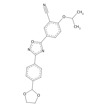 CC(C)Oc1ccc(-c2nc(-c3ccc(C4OCCO4)cc3)no2)cc1C#N